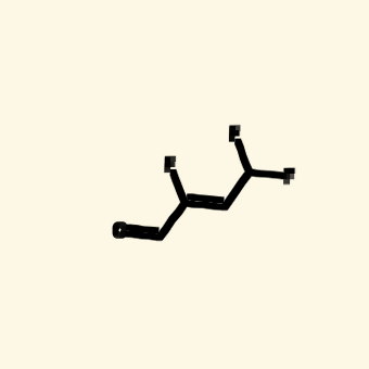 O=CC(F)=CC(F)F